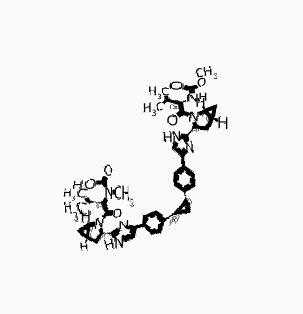 COC(=O)N[C@H](C(=O)N1[C@@H]2C[C@@H]2C[C@H]1c1nc(-c2ccc([C@@H]3C[C@H]3c3ccc(-c4c[nH]c([C@@H]5C[C@H]6C[C@H]6N5C(=O)[C@H](C(C)C)N(C)C(=O)O)n4)cc3)cc2)c[nH]1)C(C)C